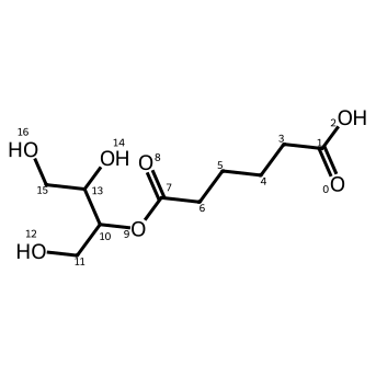 O=C(O)CCCCC(=O)OC(CO)C(O)CO